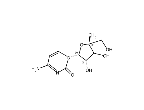 C[C@]1(CO)O[C@@H](n2ccc(N)nc2=O)[C@@H](O)C1O